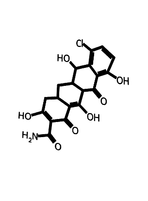 NC(=O)C1=C(O)CC2CC3C(C(=O)c4c(O)ccc(Cl)c4C3O)C(O)=C2C1=O